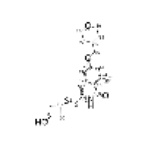 O=c1[nH]c(CS[C@H]2C[C@H](O)C2)nc2cc(OCC3CCOCC3)cc(F)c12